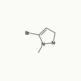 CN1[N]CC=C1Br